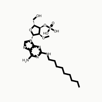 CCCCCCCCCNc1nc(N)c2ncn([C@@H]3O[C@H](CO)[C@@H](OP(=O)(O)O)[C@H]3OC)c2n1